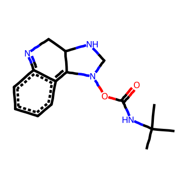 CC(C)(C)NC(=O)ON1CNC2CN=c3ccccc3=C21